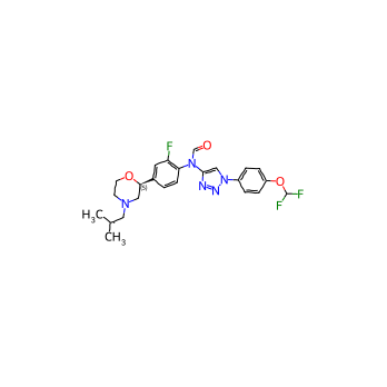 C[C](C)CN1CCO[C@@H](c2ccc(N(C=O)c3cn(-c4ccc(OC(F)F)cc4)nn3)c(F)c2)C1